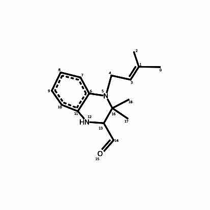 CC(C)=CCN1c2ccccc2NC(C=O)C1(C)C